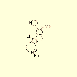 COc1cc2c(cc1-c1cccnc1)-c1c(Cl)c3c(n1CC2)CON(C(C)(C)C)CCCC3